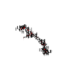 O=C(O)CCC(NC(=O)NC(CCCCNC(=O)CCCCCNC(=O)CCC(NC(=O)CCOCCOCCOCCOCCNC(=O)CCC(=O)N1Cc2ccccc2C2=C(N=[N+]2CCCNC(=O)CN2CCN(CC(=O)O)CCN(CC(=O)O)CCN(CC(=O)O)CC2)c2ccccc21)C(=O)NC(CCCCNC(=O)CCCc1ccc(I)cc1)C(=O)O)C(=O)O)C(=O)O